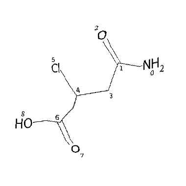 NC(=O)CC(Cl)C(=O)O